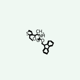 C[C@H](NC(=O)OCC1c2ccccc2-c2ccccc21)C1OCCc2sccc21